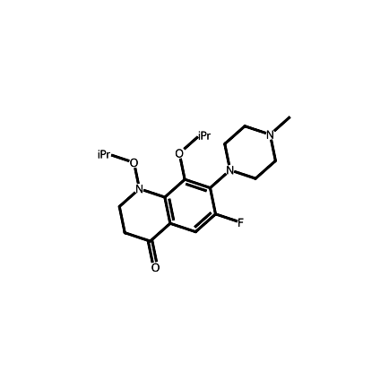 CC(C)Oc1c(N2CCN(C)CC2)c(F)cc2c1N(OC(C)C)CCC2=O